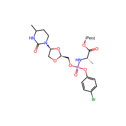 CCC[C@H](C)OC(=O)[C@H](C)NP(=O)(OC[C@H]1OC[C@@H](N2CCC(C)NC2=O)O1)Oc1ccc(Br)cc1